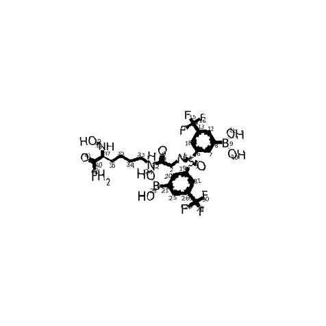 O=C(CN=S(=O)(c1cc(B(O)O)cc(C(F)(F)F)c1)c1cc(B(O)O)cc(C(F)(F)F)c1)NCCCC[C@H](NO)C(=O)P